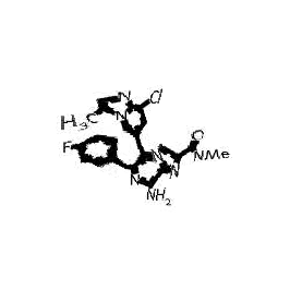 CNC(=O)c1cn2c(-c3cc(Cl)c4ncc(C)n4c3)c(-c3ccc(F)cc3)nc(N)c2n1